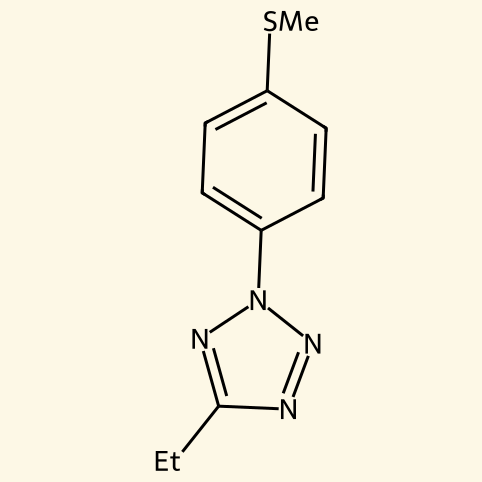 CCc1nnn(-c2ccc(SC)cc2)n1